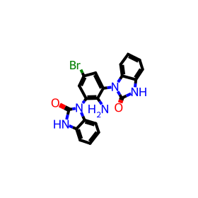 Nc1c(-n2c(=O)[nH]c3ccccc32)cc(Br)cc1-n1c(=O)[nH]c2ccccc21